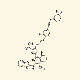 CC1=C(Nc2nc3ccccc3s2)NN(c2nc(C(=O)O)c(CCCOc3ccc(C#CCN4CCCC(F)(F)C4)cc3F)s2)C2=C1CCCN2